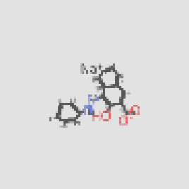 O=C([O-])c1cc2ccccc2c(N=Nc2ccccc2)c1O.[Na+]